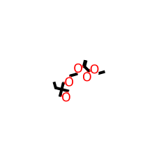 C=C(OCCOCC1(CC)COC1)C(=O)OCC